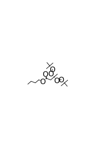 CCCCOC(=O)CC(C)(OOC(C)(C)C)OOC(C)(C)C